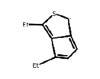 CCC1=CC=C2[CH]SC(CC)=C21